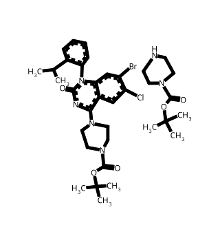 CC(C)(C)OC(=O)N1CCNCC1.CC(C)c1ccccc1-n1c(=O)nc(N2CCN(C(=O)OC(C)(C)C)CC2)c2cc(Cl)c(Br)cc21